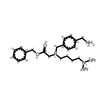 CCCN(CCC)CCCCN(CC(=O)OCc1ccccc1)Cc1ccc(CN)cc1